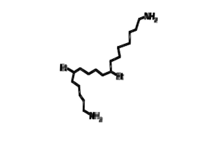 CCC(CCCCCN)CCCCC(CC)CCCCCCCN